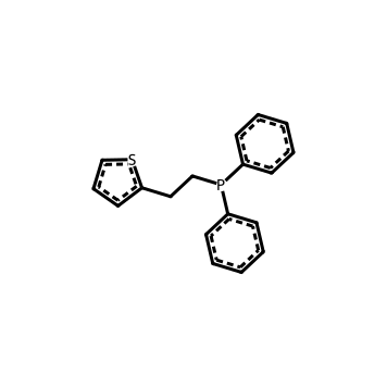 c1ccc(P(CCc2cccs2)c2ccccc2)cc1